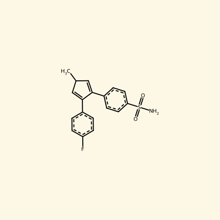 CC1C=C(c2ccc(F)cc2)C(c2ccc(S(N)(=O)=O)cc2)=C1